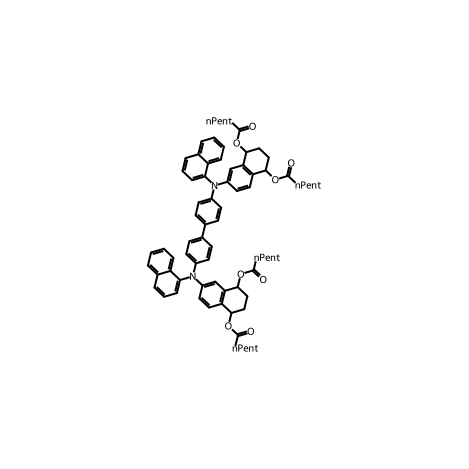 CCCCCC(=O)OC1CCC(OC(=O)CCCCC)c2cc(N(c3ccc(-c4ccc(N(c5ccc6c(c5)C(OC(=O)CCCCC)CCC6OC(=O)CCCCC)c5cccc6ccccc56)cc4)cc3)c3cccc4ccccc34)ccc21